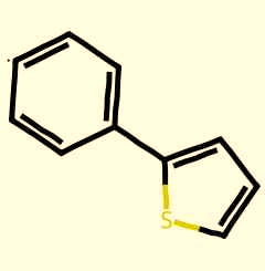 [c]1ccc(-c2cccs2)cc1